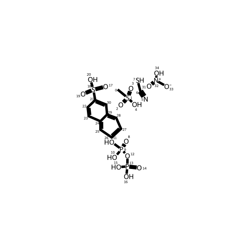 CS(=O)(=O)O.N#CS.O=P(O)(O)OP(=O)(O)O.O=S(=O)(O)c1ccc2ccccc2c1.O=[N+]([O-])O